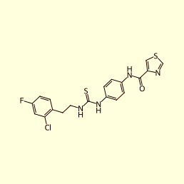 O=C(Nc1ccc(NC(=S)NCCc2ccc(F)cc2Cl)cc1)c1cscn1